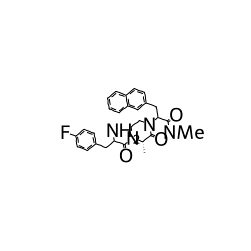 CNC(=O)C(Cc1ccc2ccccc2c1)N1CCN(C(=O)C(N)Cc2ccc(F)cc2)[C@@H](C)C1=O